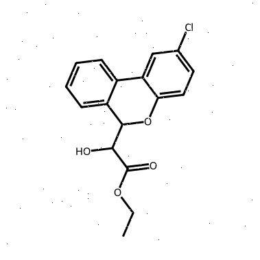 CCOC(=O)C(O)C1Oc2ccc(Cl)cc2-c2ccccc21